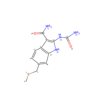 CSCc1ccc2c(C(N)=O)c(NC(N)=O)[nH]c2c1